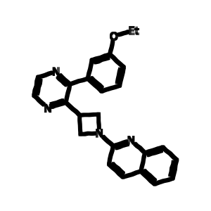 CCOc1cccc(-c2nccnc2C2CN(c3ccc4ccccc4n3)C2)c1